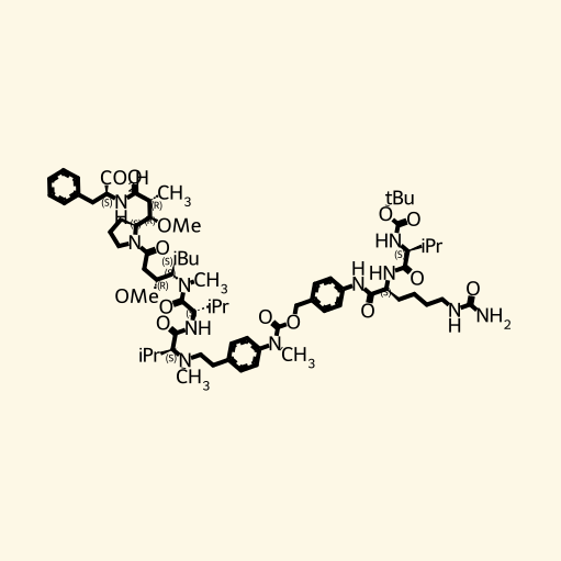 CC[C@H](C)[C@@H]([C@@H](CC(=O)N1CCC[C@H]1[C@H](OC)[C@@H](C)C(=O)N[C@@H](Cc1ccccc1)C(=O)O)OC)N(C)C(=O)[C@@H](NC(=O)[C@H](C(C)C)N(C)CCc1ccc(N(C)C(=O)OCc2ccc(NC(=O)[C@H](CCCCNC(N)=O)NC(=O)[C@@H](NC(=O)OC(C)(C)C)C(C)C)cc2)cc1)C(C)C